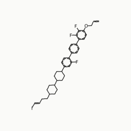 C=CCOc1ccc(-c2ccc(-c3ccc(C4CCC(C5CCC(CC/C=C/I)CC5)CC4)cc3F)cc2)c(F)c1F